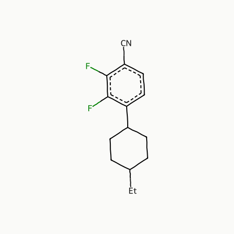 CCC1CCC(c2ccc(C#N)c(F)c2F)CC1